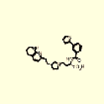 O=C(N[C@@H](CCN1CC[C@@H](CCc2ccc3c(n2)NCCC3)C1)C(=O)O)c1cccc(-c2cccs2)c1